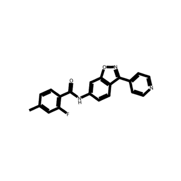 Cc1ccc(C(=O)Nc2ccc3c(-c4ccncc4)noc3c2)c(F)c1